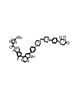 Cc1cc(-c2ncnc3[nH]c(-c4ccc(N5CCN(CC6CCN(c7ccc(N8CCC(=O)NC8=O)cc7)CC6)CC5)cc4)cc23)c(F)cc1[C@@H](C)NC(=O)c1noc(C(C)(C)C)n1